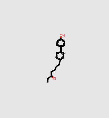 CCC(=O)CCCCc1ccc(-c2ccc(O)cc2)cc1